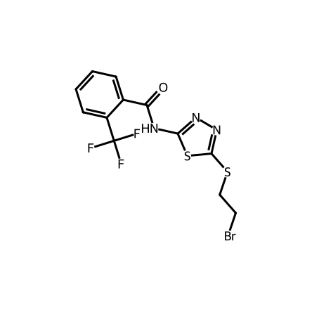 O=C(Nc1nnc(SCCBr)s1)c1ccccc1C(F)(F)F